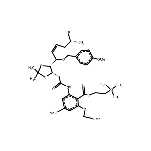 COCOc1cc(OC)cc(NC(=O)C[C@@H]2OC(C)(C)O[C@@H]2C(/C=C\C[C@@H](C)O)OCc2ccc(OC)cc2)c1C(=O)OCC[Si](C)(C)C